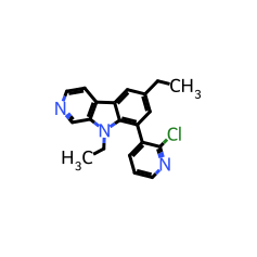 CCc1cc(-c2cccnc2Cl)c2c(c1)c1ccncc1n2CC